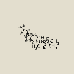 C[C@@H](N[S+]([O-])C(C)(C)C)c1cc2cnn(CC3(F)CC3)c2cn1